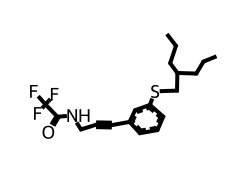 CCCC(CCC)CSc1cccc(C#CCNC(=O)C(F)(F)F)c1